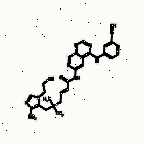 C#Cc1cccc(Nc2ncnc3cnc(NC(=O)/C=C/C[N+](C)(C)Cc4c([N+](=O)[O-])ncn4CCC#N)cc23)c1